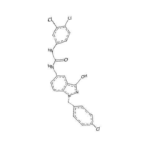 O=C(Nc1ccc(Cl)c(Cl)c1)Nc1ccc2c(c1)c(O)nn2Cc1ccc(Cl)cc1